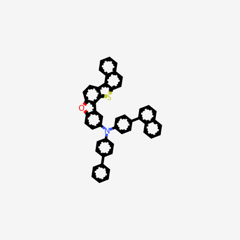 c1ccc(-c2ccc(N(c3ccc(-c4cccc5ccccc45)cc3)c3ccc4oc5ccc6c(sc7ccc8ccccc8c76)c5c4c3)cc2)cc1